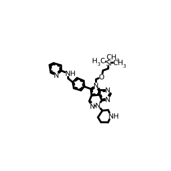 C[Si](C)(C)CCOCn1c(-c2ccc(CNc3ccccn3)cc2)c2c3c(ncnc31)N(C1CCCNC1)N=C2